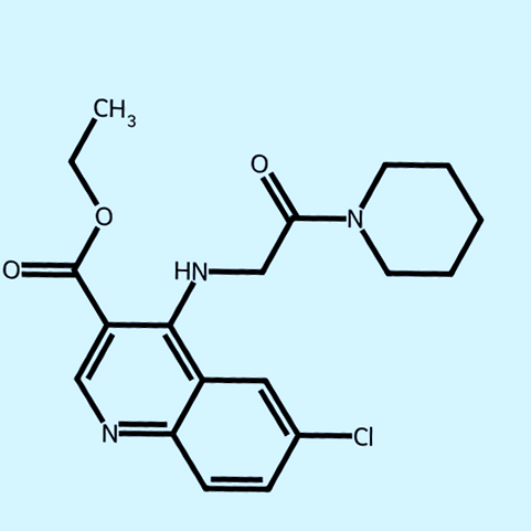 CCOC(=O)c1cnc2ccc(Cl)cc2c1NCC(=O)N1CCCCC1